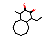 CCC1C(=O)C(=O)C(C)C2CCCCCCC12